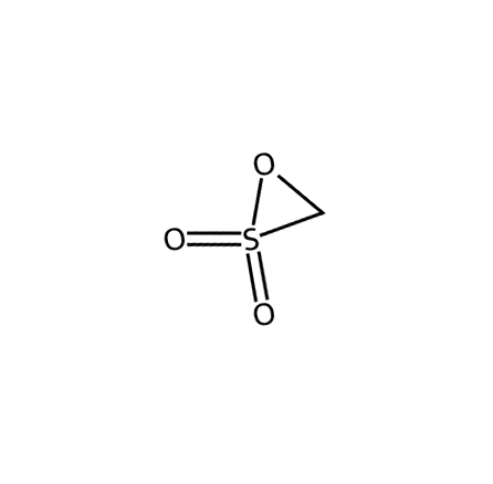 O=S1(=O)CO1